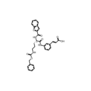 O=C(O)C=Cc1cccc(NC(=O)[C@H](CCCNC(=O)OCc2ccccc2)NC(=O)c2cc3ccccc3o2)c1